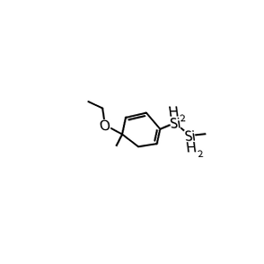 CCOC1(C)C=CC([SiH2][SiH2]C)=CC1